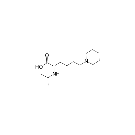 CC(C)NC(CCCCN1CCCCC1)C(=O)O